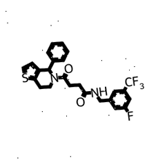 O=C(CCC(=O)N1CCc2sccc2C1c1ccccc1)NCc1cc(F)cc(C(F)(F)F)c1